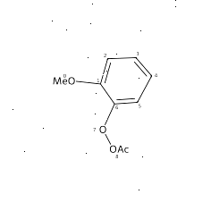 COc1ccccc1OOC(C)=O